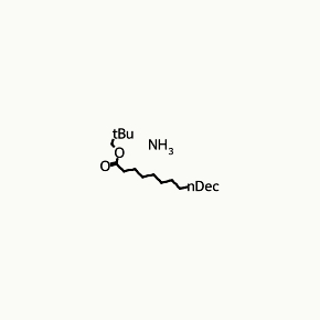 CCCCCCCCCCCCCCCCCC(=O)OCC(C)(C)C.N